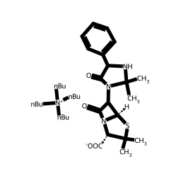 CC1(C)S[C@@H]2C(N3C(=O)C(c4ccccc4)NC3(C)C)C(=O)N2[C@H]1C(=O)[O-].CCCC[N+](CCCC)(CCCC)CCCC